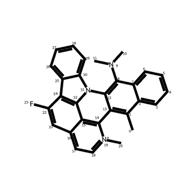 Cc1c2ccccc2c(N(C)C)c2c1c1c3c(cc[n+]1C)cc(F)c1c4ccccc4n2c13